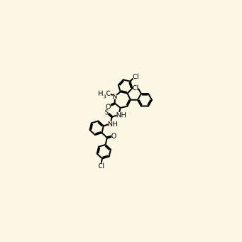 CN1C(=O)C(NC(=S)Nc2ccccc2C(=O)c2ccc(Cl)cc2)C=C(c2ccccc2Cl)c2cc(Cl)ccc21